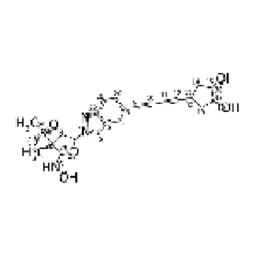 C[C@@](CCn1cc2cc(C#CC#C[C@H]3C[C@@H](O)[C@@H](O)C3)ccc2n1)(C(=O)NO)S(C)(=O)=O